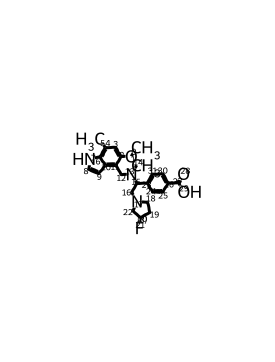 COc1cc(C)c2[nH]ccc2c1CN(C)C(CN1CC[C@@H](F)C1)c1ccc(C(=O)O)cc1